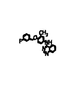 Cc1cc(Nc2ncnc3ccccc23)ccc1OCc1cccc(F)c1